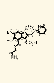 CCOC(=O)c1c(C[S+]([O-])c2ccccn2)n(C)c2cc(Br)c(O)c(CSCCN)c12